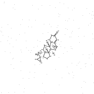 CC1([C@H]2CC[C@H]3[C@@H]4CCC5=CC(=O)CC[C@]5(C)[C@H]4CC[C@]23C)CO1